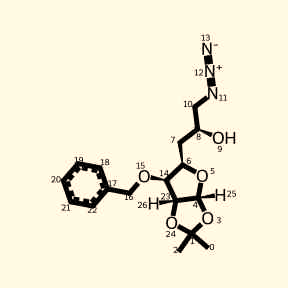 CC1(C)O[C@H]2O[C@H](C[C@H](O)CN=[N+]=[N-])[C@H](OCc3ccccc3)[C@H]2O1